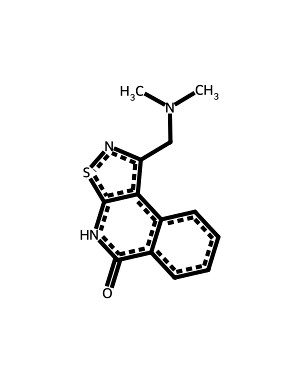 CN(C)Cc1nsc2[nH]c(=O)c3ccccc3c12